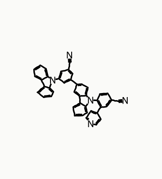 N#Cc1cc(-c2ccc3c(c2)c2ccccc2n3-c2ccc(C#N)cc2-c2ccncc2)cc(-n2c3ccccc3c3ccccc32)c1